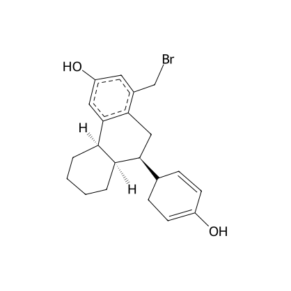 OC1=CCC([C@@H]2Cc3c(CBr)cc(O)cc3[C@@H]3CCCC[C@@H]32)C=C1